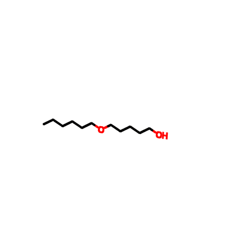 CCCCCCOCCCCCO